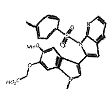 COc1cc2c(-c3cc4cccnc4n3S(=O)(=O)c3ccc(C)cc3)cn(C)c2cc1OCC(=O)O